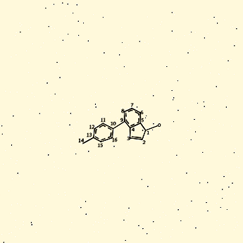 C[C]1C=Cc2c1cccc2-c1ccc(C)cc1